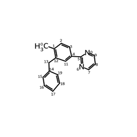 Cc1ccc(-c2ncccn2)cc1Cc1ccccc1